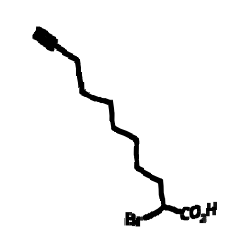 C#CCCCCCCCC(Br)C(=O)O